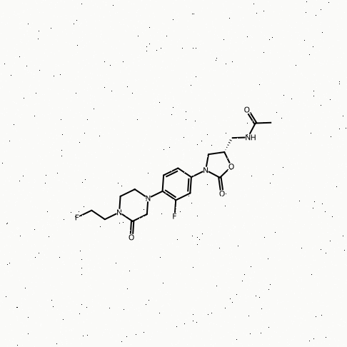 CC(=O)NC[C@H]1CN(c2ccc(N3CCN(CCF)C(=O)C3)c(F)c2)C(=O)O1